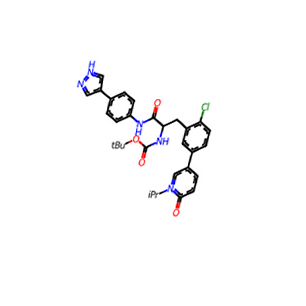 CC(C)n1cc(-c2ccc(Cl)c(CC(NC(=O)OC(C)(C)C)C(=O)Nc3ccc(-c4cn[nH]c4)cc3)c2)ccc1=O